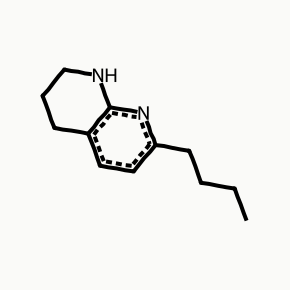 CCCCc1ccc2c(n1)NCCC2